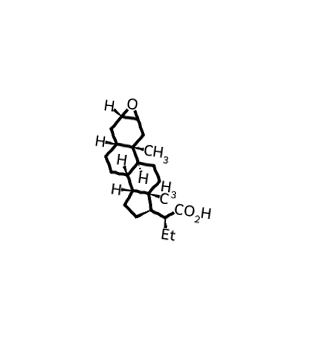 CC[C@H](C(=O)O)[C@H]1CC[C@@H]2[C@@H]3CC[C@@H]4C[C@@H]5OC5C[C@]4(C)[C@H]3CC[C@@]21C